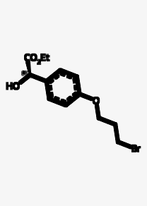 CCOC(=O)[C@H](O)c1ccc(OCCCBr)cc1